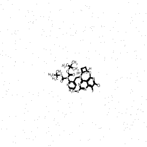 CSc1nc2c3c(nc(Cl)c(F)c3n1)O[C@@H]1CC[C@@H]1N2Cc1cccnc1N(C(=O)OC(C)(C)C)C(=O)OC(C)(C)C